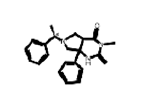 C=C1NC2(c3ccccc3)CN([C@H](C)c3ccccc3)CC2C(=O)N1C